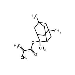 C=C(C)C(=O)OC1(C)C2CC3(C)CC1CC(C)(C2)C3